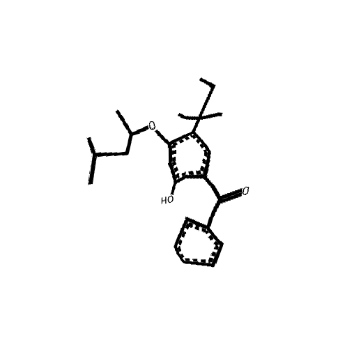 CCC(C)(C)c1cc(C(=O)c2ccccc2)c(O)cc1OC(C)CC(C)C